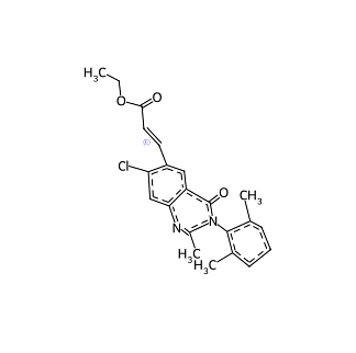 CCOC(=O)/C=C/c1cc2c(=O)n(-c3c(C)cccc3C)c(C)nc2cc1Cl